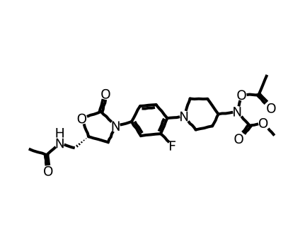 COC(=O)N(OC(C)=O)C1CCN(c2ccc(N3C[C@H](CNC(C)=O)OC3=O)cc2F)CC1